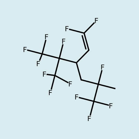 CC(F)(CC(C=C(F)F)C(F)(C(F)(F)F)C(F)(F)F)C(F)(F)F